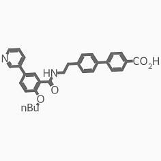 CCCCOc1ccc(-c2cccnc2)cc1C(=O)NCCc1ccc(-c2ccc(C(=O)O)cc2)cc1